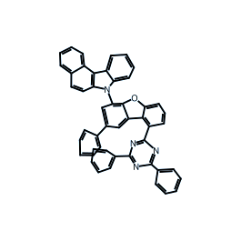 c1ccc(-c2cc(-n3c4ccccc4c4c5ccccc5ccc43)c3oc4cccc(-c5nc(-c6ccccc6)nc(-c6ccccc6)n5)c4c3c2)cc1